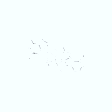 Nc1nc2c(ncn2[C@@]2(OP(=O)(S)OC3(CO[PH](=O)S)OC[C@]3(F)n3cnc4c(N)ncnc43)COC2O)c(=O)[nH]1